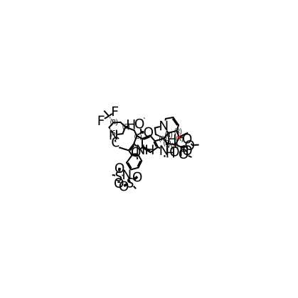 CC[C@]12C=CCN3CC[C@@]4(c5cc([C@@]6(C(=O)OC)C[C@@H]7C[C@@H](C(C)(F)F)C[N@](CCc8c6[nH]c6ccc(N(S(C)(=O)=O)S(C)(=O)=O)cc86)C7)c(OC)cc5N(C)[C@H]4[C@@](O)(C(=O)OC)[C@@H]1OC(C)=O)[C@@H]32